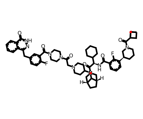 O=C(N[C@@H](C(=O)N1C[C@H]2CC[C@@H](C1)C2OC1CCN(CC(=O)N2CCN(C(=O)c3cc(Cc4n[nH]c(=O)c5ccccc45)ccc3F)CC2)CC1)C1CCCCC1)c1cccc([C@@H]2CCCN(C(=O)C34CC(C3)C4)C2)c1F